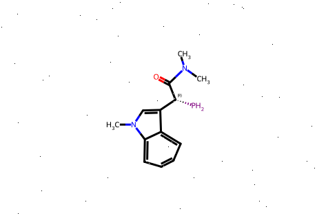 CN(C)C(=O)[C@H](P)c1cn(C)c2ccccc12